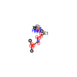 CCC(CC(=O)OCOC(=O)CN(C)C(=O)CCCOP(=O)(OCc1ccccc1)OCc1ccccc1)c1ccc(N(CC(C)C)CC(C)C)c(NC(=O)Nc2ccc(C)cc2)c1